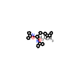 CC1(C)c2cc(-c3cccc(-c4cc(-c5nc6c7ccccc7c7ccccc7c6o5)cc(-c5nc6c7ccccc7c7ccccc7c6o5)c4)c3)ccc2-c2c1ccc1ccccc21